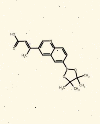 C/C(=C\C(=O)O)c1cnc2ccc(B3OC(C)(C)C(C)(C)O3)cc2c1